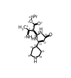 CCCOC(=O)/C(C(C)=N)=C1\NC(=O)C=C(C2CCNCC2)N1